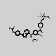 Cc1cc(Nc2nccn3c(-c4ccc(OC(F)F)cc4)cnc23)ccc1C(=O)N1CCC(CC[N+](C)(C)C)CC1.O=C[O-]